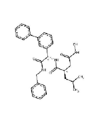 CC(C)C[C@H](CC(=O)NO)C(=O)N[C@H](C(=O)NCc1ccccc1)c1cccc(-c2ccccc2)c1